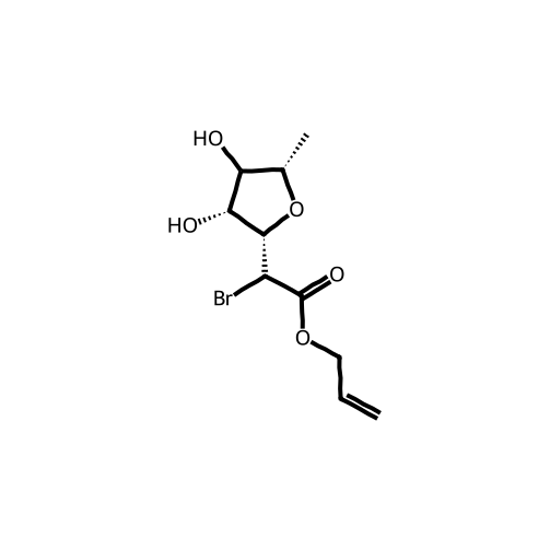 C=CCOC(=O)C(Br)[C@H]1O[C@@H](C)C(O)[C@H]1O